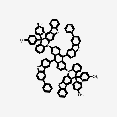 Cc1ccc(C2(c3ccc(C)cc3)c3ccccc3N(c3ccc4c(-c5ccc6oc7ccc(-c8ccccc8)cc7c6c5)c5cc(N6c7ccccc7C(c7ccc(C)cc7)(c7ccc(C)cc7)c7cc8c(cc76)sc6ccccc68)ccc5c(-c5ccc6oc7ccc(-c8ccccc8)cc7c6c5)c4c3)c3cc4sc5ccccc5c4cc32)cc1